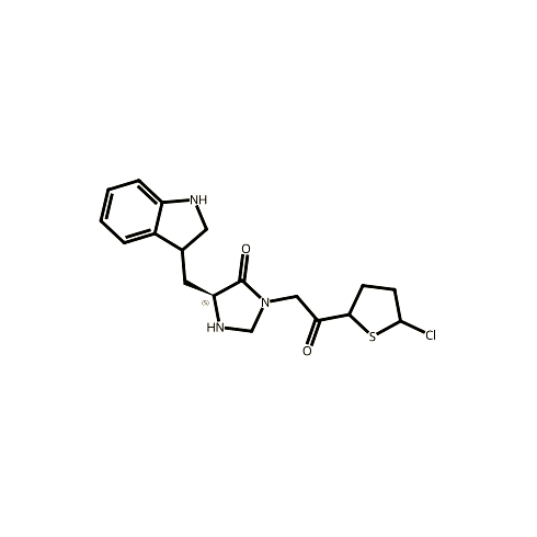 O=C(CN1CN[C@@H](CC2CNc3ccccc32)C1=O)C1CCC(Cl)S1